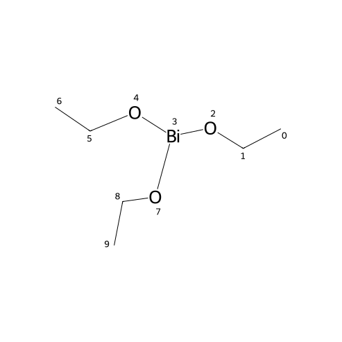 CC[O][Bi]([O]CC)[O]CC